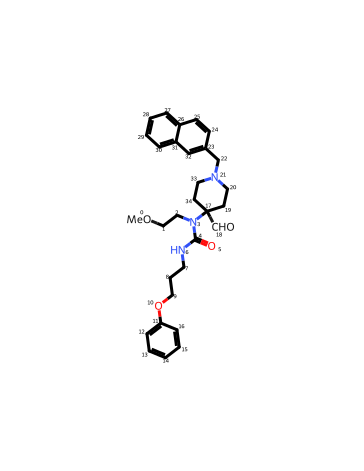 COCCN(C(=O)NCCCOc1ccccc1)C1(C=O)CCN(Cc2ccc3ccccc3c2)CC1